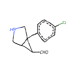 O=CC1C2CNCC12c1ccc(Cl)cc1